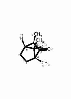 C[C@H]1C(=O)[C@]2(C)CC[C@H]1C2(C)C